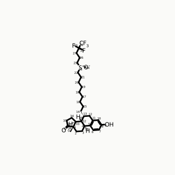 C[C@]12CC[C@@H]3c4ccc(O)cc4C[C@@H](CCCCCCCCC[S+]([O-])CCCC(F)(F)C(F)(F)F)[C@H]3[C@@H]1CCC2=O